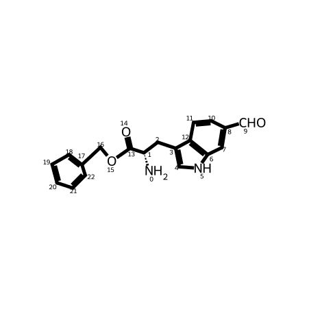 N[C@@H](Cc1c[nH]c2cc(C=O)ccc12)C(=O)OCc1ccccc1